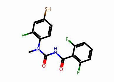 CN(C(=O)NC(=O)c1c(F)cccc1F)c1ccc(S)cc1F